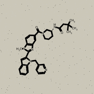 Cn1c(-c2cc3ccccc3n2Cc2cccnc2)nc2cc(C(=O)N3CCC[C@@H](NC(=O)CC(C)(C)C)C3)ccc21